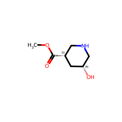 COC(=O)[C@@H]1CNC[C@H](O)C1